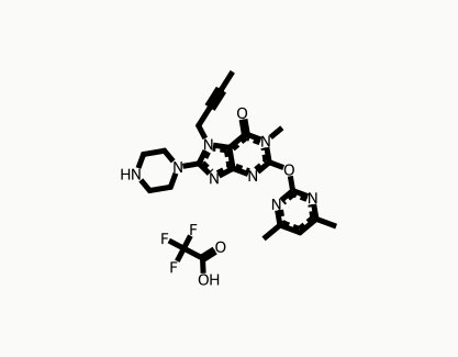 CC#CCn1c(N2CCNCC2)nc2nc(Oc3nc(C)cc(C)n3)n(C)c(=O)c21.O=C(O)C(F)(F)F